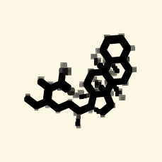 CCC(CC[C@@H](C)[C@H]1CC[C@H]2[C@@H]3CCC4CC=CC[C@]4(C)[C@H]3CC[C@]12C)=C(C)C(=O)O